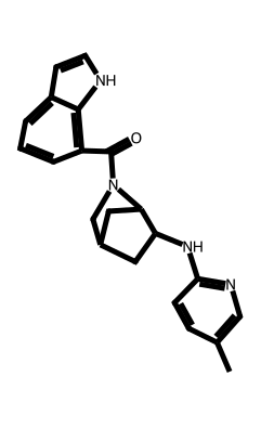 Cc1ccc(NC2CC3CC2N(C(=O)c2cccc4cc[nH]c24)C3)nc1